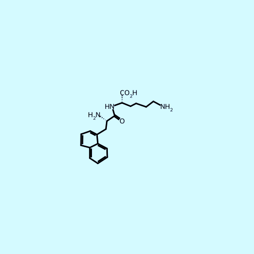 NCCCC[C@H](NC(=O)[C@@H](N)Cc1cccc2ccccc12)C(=O)O